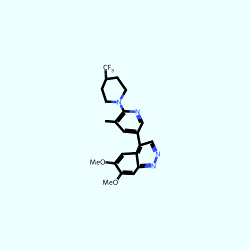 COc1cc2nncc(-c3cnc(N4CCC(C(F)(F)F)CC4)c(C)c3)c2cc1OC